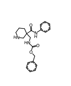 O=C(NCC1(C(=O)Nc2ccccc2)CCCNC1)OCc1ccccc1